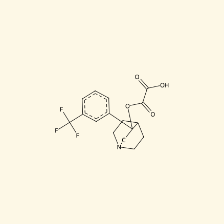 O=C(O)C(=O)OC1(c2cccc(C(F)(F)F)c2)CN2CCC1CC2